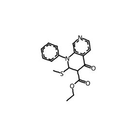 CCOC(=O)C1C(=O)c2ccncc2N(c2ccccc2)C1SC